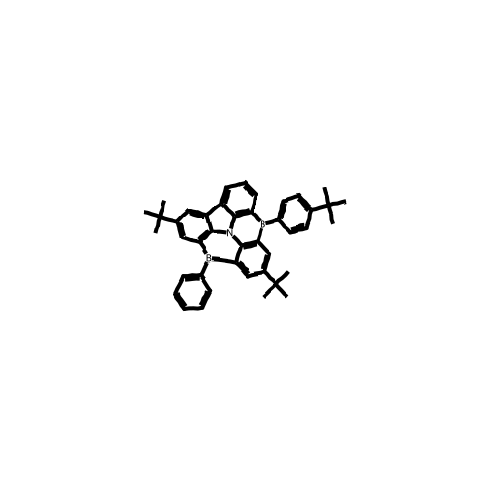 CC(C)(C)c1ccc(B2c3cc(C(C)(C)C)cc4c3-n3c5c2cccc5c2cc(C(C)(C)C)cc(c23)B4c2ccccc2)cc1